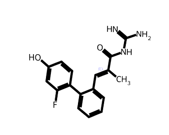 C/C(=C\c1ccccc1-c1ccc(O)cc1F)C(=O)NC(=N)N